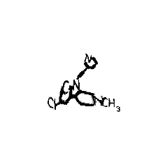 CN1CCc2c(n(C#Cc3cccnc3)c3ccc(Cl)cc23)C1